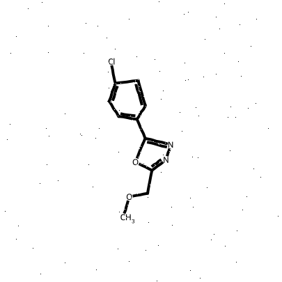 COCc1nnc(-c2ccc(Cl)cc2)o1